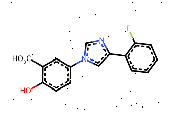 O=C(O)c1cc(-n2cnc(-c3ccccc3F)c2)ccc1O